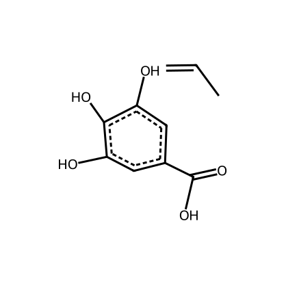 C=CC.O=C(O)c1cc(O)c(O)c(O)c1